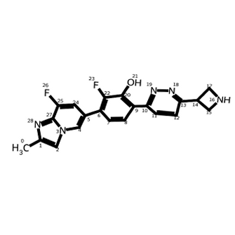 Cc1cn2cc(-c3ccc(-c4ccc(C5CNC5)nn4)c(O)c3F)cc(F)c2n1